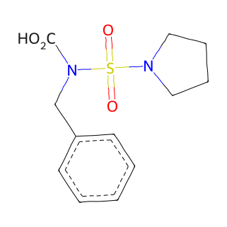 O=C(O)N(Cc1ccccc1)S(=O)(=O)N1CCCC1